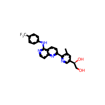 Cc1cc([C@@H](O)CO)cnc1-c1ccc2c(Nc3ccc(C(F)(F)F)cc3)nccc2n1